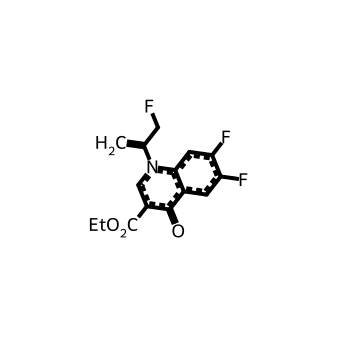 C=C(CF)n1cc(C(=O)OCC)c(=O)c2cc(F)c(F)cc21